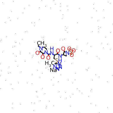 CCN1CCN(C(=O)NC(CSC2(C)N=NN=N2)C(=O)NC2CN(S(=O)(=O)[O-])C2=O)C(=O)C1=O.[Na+]